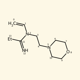 C=CN(CCN1CCOCC1)C(=N)CC